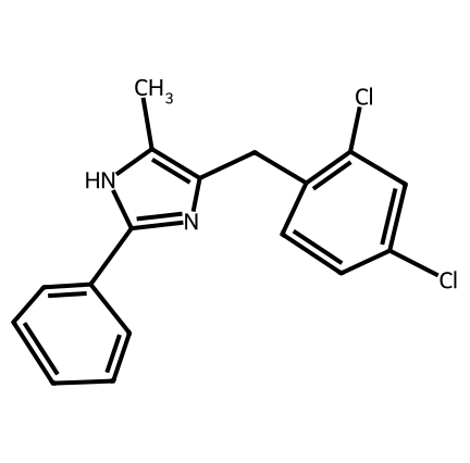 Cc1[nH]c(-c2ccccc2)nc1Cc1ccc(Cl)cc1Cl